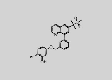 CC(=O)c1ccc(OCc2cccc(-c3cc(C(C)(C)S(C)(=O)=O)cc4cccnc34)c2)cc1O